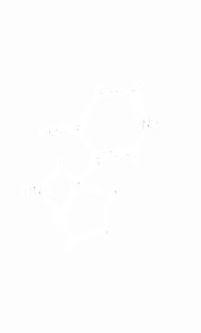 O=C1CC=N[C]=C1C12CCCC1NC2